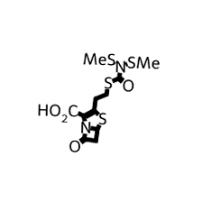 CSN(SC)C(=O)SCCC1=C(C(=O)O)N2C(=O)CC2S1